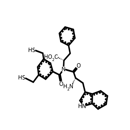 N[C@@H](Cc1c[nH]c2ccccc12)C(=O)N(C(=O)c1cc(CS)cc(CS)c1)[C@@H](Cc1ccccc1)C(=O)O